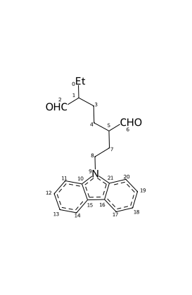 CCC(C=O)CCC(C=O)CCn1c2ccccc2c2ccccc21